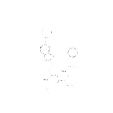 CCOC(=O)C(CCc1nc2cc(N(CCCl)CCCl)ccc2n1C)NC(=O)C(CC(C)C)NC(=O)C(N)Cc1ccc(F)cc1.Cl.Cl